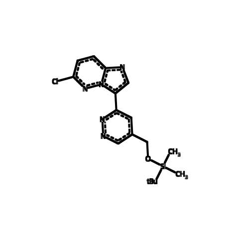 CC(C)(C)[Si](C)(C)OCc1cnnc(-c2cnc3ccc(Cl)nn23)c1